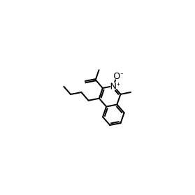 C=C(C)c1c(CCCC)c2ccccc2c(C)[n+]1[O-]